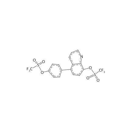 O=S(=O)(Oc1ccc(-c2ccc(OS(=O)(=O)C(F)(F)F)c3ncccc23)cc1)C(F)(F)F